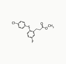 COC(=O)CCc1cc(F)ccc1Sc1ccc(Cl)cc1